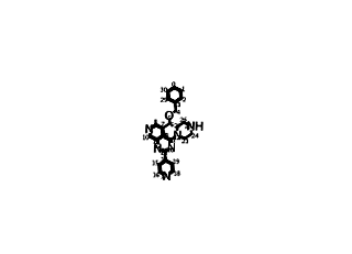 c1ccc(COCc2cncc3nc(-c4ccncc4)nc(N4CCNCC4)c23)cc1